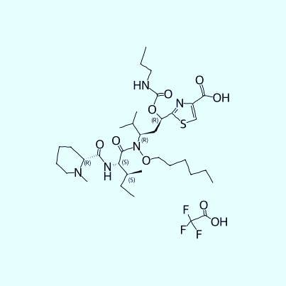 CCCCCCON(C(=O)[C@@H](NC(=O)[C@H]1CCCCN1C)[C@@H](C)CC)[C@H](C[C@@H](OC(=O)NCCC)c1nc(C(=O)O)cs1)C(C)C.O=C(O)C(F)(F)F